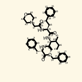 C=C(N[C@@H](Cc1ccccc1)C(=O)OCc1ccccc1)[C@@H](NC(=O)[C@H](CCc1ccccc1)NC(=O)CN1CCOCC1)C(C)CC